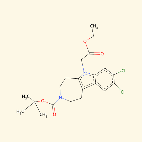 CCOC(=O)Cn1c2c(c3cc(Cl)c(Cl)cc31)CCN(C(=O)OC(C)(C)C)CC2